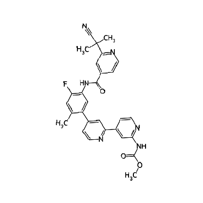 COC(=O)Nc1cc(-c2cc(-c3cc(NC(=O)c4ccnc(C(C)(C)C#N)c4)c(F)cc3C)ccn2)ccn1